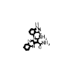 NC(=O)c1c(N)n(-c2cccc3[nH]nc(F)c23)c2nc3ccccc3nc12